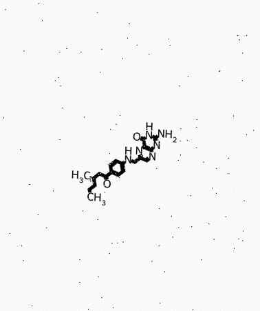 CCC[C@H](C)CC(=O)c1ccc(NCc2cnc3nc(N)[nH]c(=O)c3n2)cc1